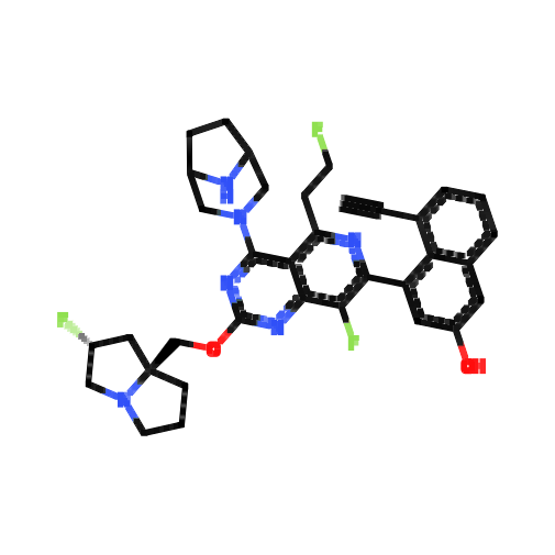 C#Cc1cccc2cc(O)cc(-c3nc(CCF)c4c(N5CC6CCC(C5)N6)nc(OC[C@@]56CCCN5C[C@H](F)C6)nc4c3F)c12